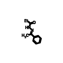 CCC(=O)N/N=C(\C)c1ccccc1